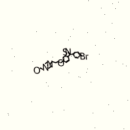 O=CCN1CCN(CCCOc2ccc3c(-c4ccc(Br)cc4)nsc3c2)CC1